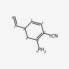 C=CC1C=CC(C#N)=C(P)C1